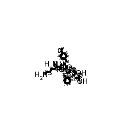 COc1ccc(C[C@H](NC(=O)[C@H](N)CCCCN)C(=O)N[C@@H](Cc2ccccc2)C(=O)N[C@@H](CC(=O)O)C(=O)O)cc1